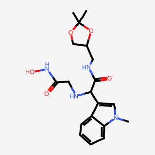 Cn1cc(C(NCC(=O)NO)C(=O)NCC2COC(C)(C)O2)c2ccccc21